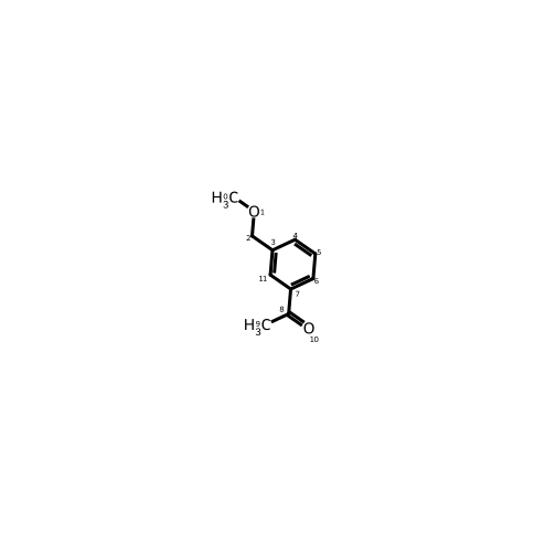 COCc1cccc(C(C)=O)c1